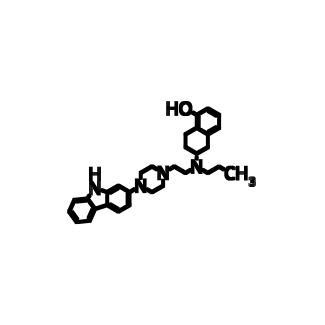 CCCN(CCN1CCN(c2ccc3c(c2)[nH]c2ccccc23)CC1)[C@H]1CCc2c(O)cccc2C1